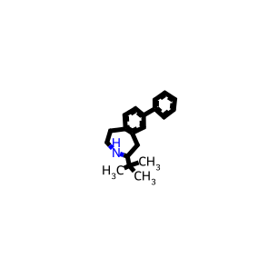 CC(C)(C)C1Cc2cc(-c3ccccc3)ccc2CCN1